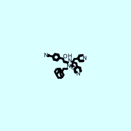 N#Cc1ccc(C(=O)C=C2NC(Cc3ccncc3)(Cc3ccncc3)C(=O)N2CCC23CC4CC(CC(C4)C2)C3)cc1